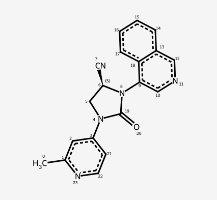 Cc1cc(N2C[C@@H](C#N)N(c3cncc4ccccc34)C2=O)ccn1